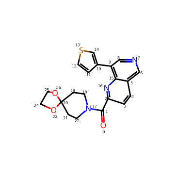 O=C(c1ccc2cncc(-c3ccsc3)c2n1)N1CCC2(CC1)OCCO2